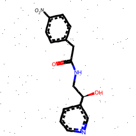 O=C(Cc1ccc([N+](=O)[O-])cc1)NC[C@@H](O)c1cccnc1